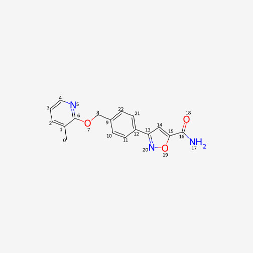 Cc1cccnc1OCc1ccc(-c2cc(C(N)=O)on2)cc1